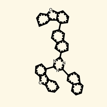 c1ccc2cc(-c3nc(-c4ccc5cc(-c6cccc7oc8ccccc8c67)ccc5c4)nc(-c4cccc5oc6ccccc6c45)n3)ccc2c1